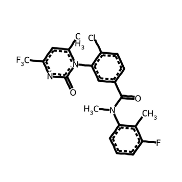 Cc1c(F)cccc1N(C)C(=O)c1ccc(Cl)c(-n2c(C)cc(C(F)(F)F)nc2=O)c1